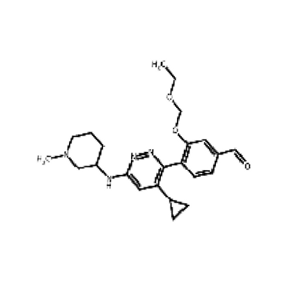 CCOCOc1cc(C=O)ccc1-c1nnc(NC2CCCN(C)C2)cc1C1CC1